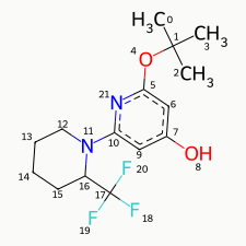 CC(C)(C)Oc1cc(O)cc(N2CCCCC2C(F)(F)F)n1